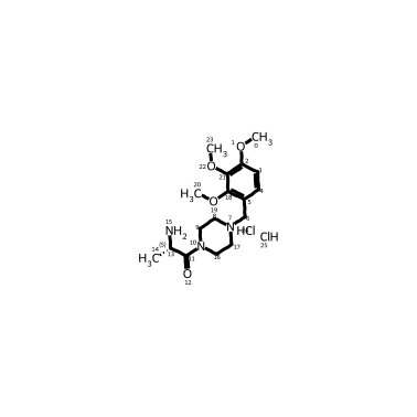 COc1ccc(CN2CCN(C(=O)[C@H](C)N)CC2)c(OC)c1OC.Cl.Cl